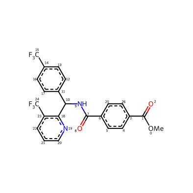 COC(=O)c1ccc(C(=O)NC(c2ccc(C(F)(F)F)cc2)c2ncccc2C(F)(F)F)cc1